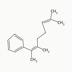 CC(C)=CCCC(C)=C(C)c1ccccc1